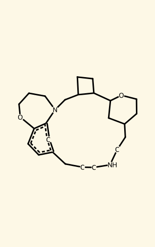 c1cc2c3cc1CCCNCCC1CCOC(C1)C1CCC1CN3CCCO2